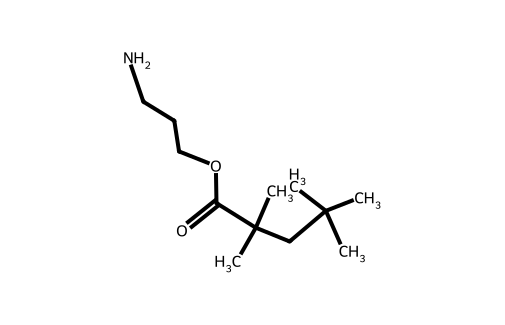 CC(C)(C)CC(C)(C)C(=O)OCCCN